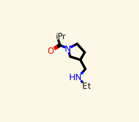 CCNCC1CCN(C(=O)C(C)C)C1